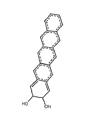 OC1C=c2cc3cc4cc5ccccc5cc4cc3cc2=CC1O